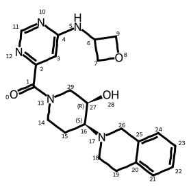 O=C(c1cc(NC2COC2)ncn1)N1CC[C@H](N2CCc3ccccc3C2)[C@H](O)C1